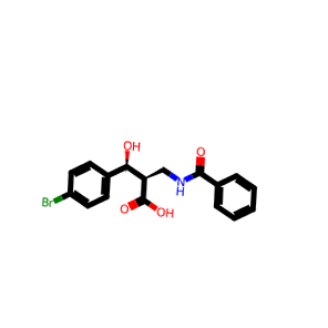 O=C(NC[C@@H](C(=O)O)[C@H](O)c1ccc(Br)cc1)c1ccccc1